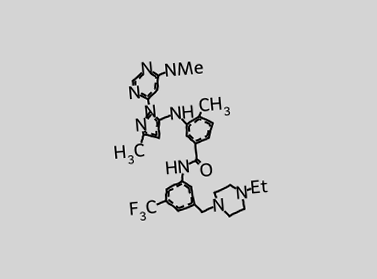 CCN1CCN(Cc2cc(NC(=O)c3ccc(C)c(Nc4cc(C)nn4-c4cc(NC)ncn4)c3)cc(C(F)(F)F)c2)CC1